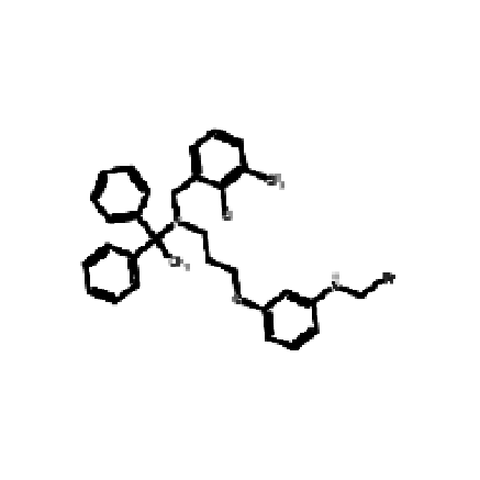 CC(C)CNc1cccc(OCCCN(Cc2cccc(C(F)(F)F)c2Cl)C(C)(c2ccccc2)c2ccccc2)c1